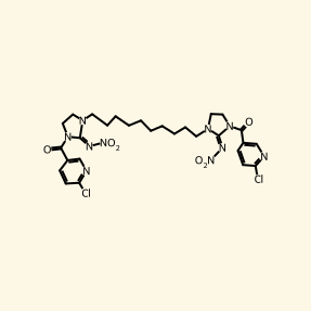 O=C(c1ccc(Cl)nc1)N1CCN(CCCCCCCCCCN2CCN(C(=O)c3ccc(Cl)nc3)C2=N[N+](=O)[O-])C1=N[N+](=O)[O-]